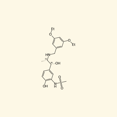 CCOc1cc(CN[C@@H](C)[C@H](O)c2ccc(O)c(NS(C)(=O)=O)c2)cc(OCC)c1